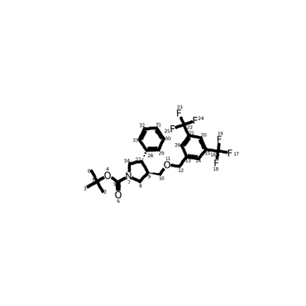 CC(C)(C)OC(=O)N1C[C@H](COCc2cc(C(F)(F)F)cc(C(F)(F)F)c2)[C@@H](c2ccccc2)C1